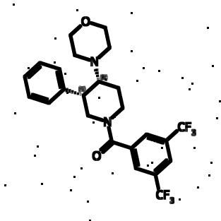 O=C(c1cc(C(F)(F)F)cc(C(F)(F)F)c1)N1CC[C@@H](N2CCOCC2)[C@@H](c2ccccc2)C1